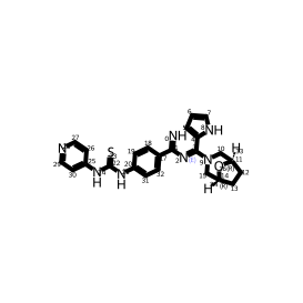 N=C(/N=C(\c1ccc[nH]1)N1C[C@H]2CC[C@H](C1)O2)c1ccc(NC(=S)Nc2ccncc2)cc1